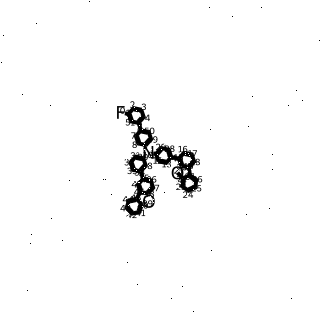 Fc1cccc(-c2ccc(N(c3ccc(-c4cccc5c4oc4ccccc45)cc3)c3cccc(-c4ccc5oc6ccccc6c5c4)c3)cc2)c1